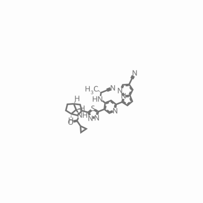 C[C@H](C#N)Nc1cc(-c2ccc3cc(C#N)cnn23)ncc1-c1nnc(C2C[C@H]3CC[C@@H](C2)[C@@H]3NC(=O)C2CC2)s1